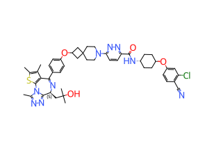 Cc1sc2c(c1C)C(c1ccc(OC3CC4(CCN(c5ccc(C(=O)N[C@H]6CC[C@H](Oc7ccc(C#N)c(Cl)c7)CC6)nn5)CC4)C3)cc1)=N[C@@H](CC(C)(C)O)c1nnc(C)n1-2